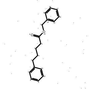 O=C(CCCCc1ccccc1)OCc1ccccc1